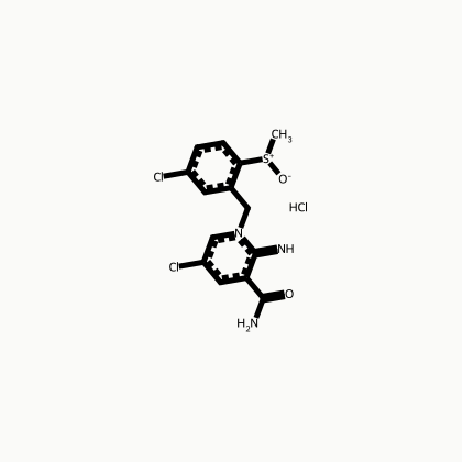 C[S+]([O-])c1ccc(Cl)cc1Cn1cc(Cl)cc(C(N)=O)c1=N.Cl